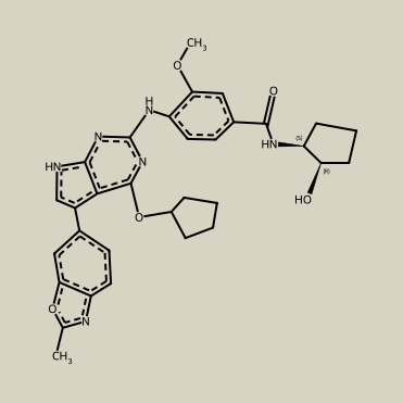 COc1cc(C(=O)N[C@H]2CCC[C@H]2O)ccc1Nc1nc(OC2CCCC2)c2c(-c3ccc4nc(C)oc4c3)c[nH]c2n1